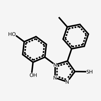 Cc1cccc(-c2c(S)nnn2-c2ccc(O)cc2O)c1